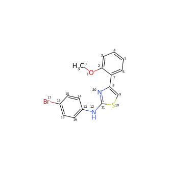 COc1ccccc1-c1csc(Nc2ccc(Br)cc2)n1